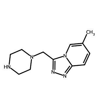 Cc1ccc2nnc(CN3CCNCC3)n2c1